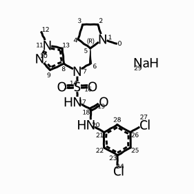 CN1CCC[C@@H]1CN(c1cnn(C)c1)S(=O)(=O)NC(=O)Nc1cc(Cl)cc(Cl)c1.[NaH]